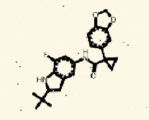 CC(C)(C)C1Cc2cc(NC(=O)C3(c4ccc5c(c4)OCO5)CC3)cc(F)c2N1